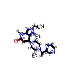 CC[C@H]1CN(C(C)c2cnccn2)[C@H](CC)CN1c1cc(=O)n(C)c2cn(CC#N)nc12